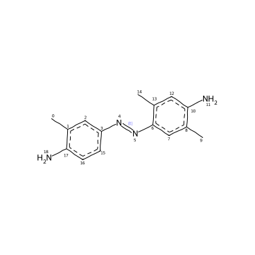 Cc1cc(/N=N/c2cc(C)c(N)cc2C)ccc1N